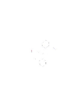 Cc1c(C(=O)N(Cc2cccc(C#N)n2)[C@H](C(=O)O)C(C)C)ccc2c1B(O)OC2